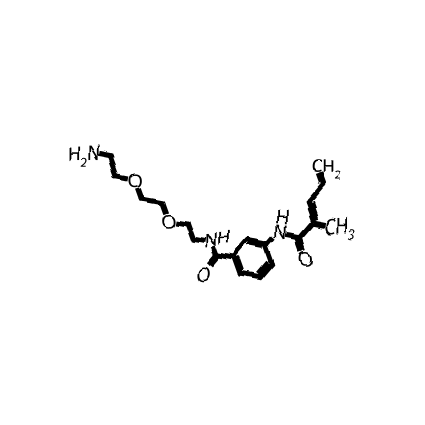 C=CC=C(C)C(=O)Nc1cccc(C(=O)NCCOCCOCCN)c1